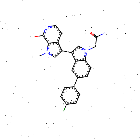 Cn1cc(-c2cn(CC(N)=O)c3ccc(-c4ccc(F)cc4)cc23)c2ccnc(O)c21